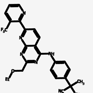 CCOCc1nc(Nc2ccc(C(C)(C)C#N)cc2)c2ccc(-c3ncccc3C(F)(F)F)nc2n1